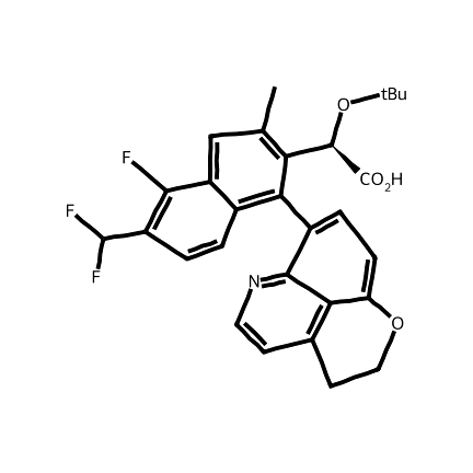 Cc1cc2c(F)c(C(F)F)ccc2c(-c2ccc3c4c(ccnc24)CCO3)c1[C@@H](OC(C)(C)C)C(=O)O